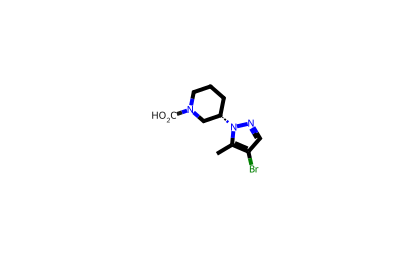 Cc1c(Br)cnn1[C@H]1CCCN(C(=O)O)C1